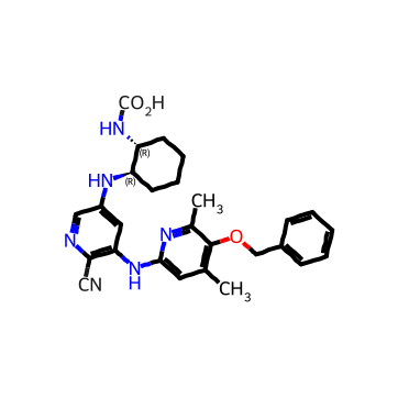 Cc1cc(Nc2cc(N[C@@H]3CCCC[C@H]3NC(=O)O)cnc2C#N)nc(C)c1OCc1ccccc1